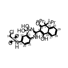 CCCC1(CCC)C(=O)C(C2=NS(O)(O)c3cc(NS(=O)(=O)CCl)ccc3N2)=C(O)c2ccccc21